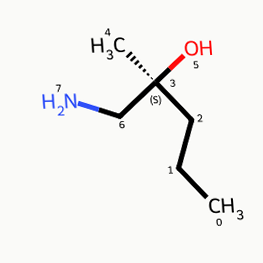 CCC[C@](C)(O)CN